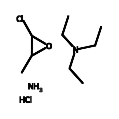 CC1OC1Cl.CCN(CC)CC.Cl.N